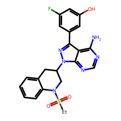 CCS(=O)(=O)N1CC(n2nc(-c3cc(O)cc(F)c3)c3c(N)ncnc32)Cc2ccccc21